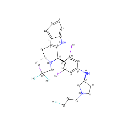 C[C@@H]1Cc2c([nH]c3ccccc23)[C@@H](c2c(I)cc(N[C@H]3CCN(CCCF)C3)cc2I)N1CC(F)(F)I